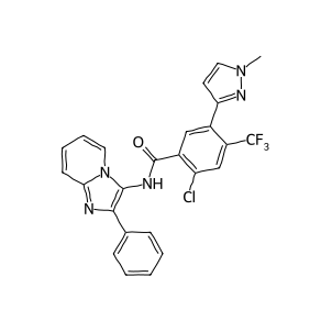 Cn1ccc(-c2cc(C(=O)Nc3c(-c4ccccc4)nc4ccccn34)c(Cl)cc2C(F)(F)F)n1